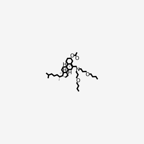 CCCCOCCCN(CCCOCCCC)CC1=C2C[C@@H](OC(C)=O)CC[C@]2(C)[C@H]2CC[C@]3(C)[C@@H]([C@H](C)CCCC(C)C)CC[C@H]3[C@@H]2C1